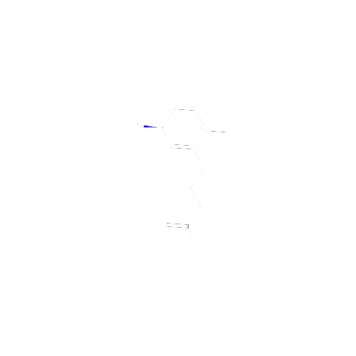 C=C(C)CCCC1=C[C@@H](N)CC=C1C